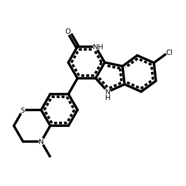 CN1CCSc2cc(-c3cc(=O)[nH]c4c3[nH]c3ccc(Cl)cc34)ccc21